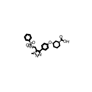 Cn1nnc(-c2ccc(O[C@H]3CCC[C@H](C(=O)O)C3)cc2)c1CNS(=O)(=O)c1ccccc1